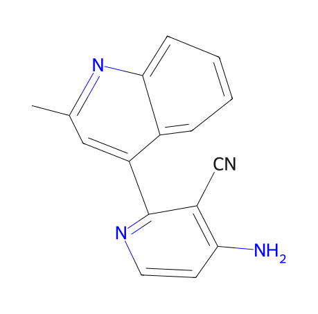 Cc1cc(-c2nccc(N)c2C#N)c2ccccc2n1